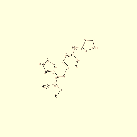 CC(C)C[C@H](C(=O)O)[C@H](Cc1ccc(NC2CCNC2)nc1)c1nnn[nH]1